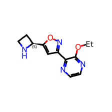 CCOc1nccnc1-c1cc([C@@H]2CCN2)on1